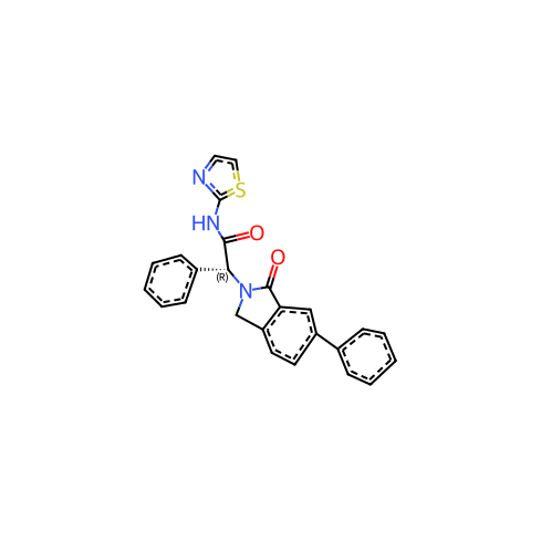 O=C(Nc1nccs1)[C@@H](c1ccccc1)N1Cc2ccc(-c3ccccc3)cc2C1=O